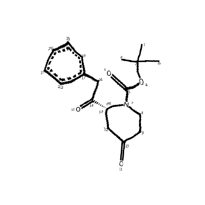 CC(C)(C)OC(=O)N1CCC(=O)C[C@@H]1C(=O)Cc1ccccc1